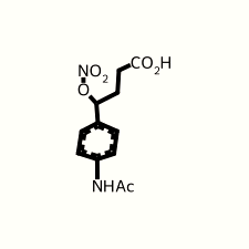 CC(=O)Nc1ccc(C(CCC(=O)O)O[N+](=O)[O-])cc1